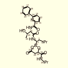 CC(C)C[C@H](NC(=O)[C@@H](NC(=O)c1cccc(-c2ccccc2)n1)[C@@H](C)O)B1OC(=O)CC(C(=O)NC(C)C)O1